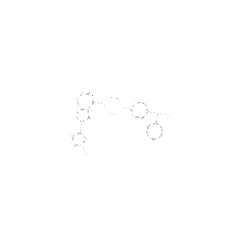 Cn1cc(-c2cc3c(N4CCN(c5ncc([C@@](C)(N)c6ccccc6)cn5)CC4)ncnn3c2)cn1